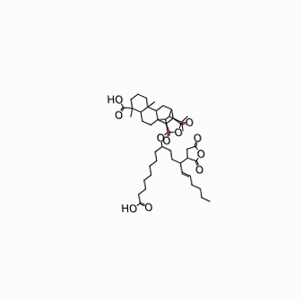 CCCC/C=C/C(CCC(CCCCCCCC(=O)O)OCC1C(C(C)C)C2CC3C4(C)CCCC(C)(C(=O)O)C4CCC13C1C(=O)OC(=O)C21)C1CC(=O)OC1=O